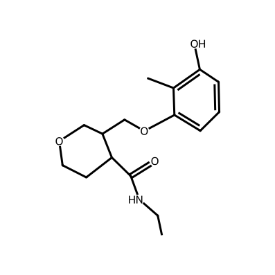 CCNC(=O)C1CCOCC1COc1cccc(O)c1C